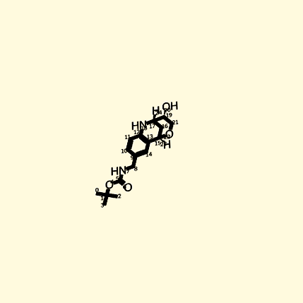 CC(C)(C)OC(=O)NCc1ccc2c(c1)[C@H]1C[C@H](N2)[C@H](O)CO1